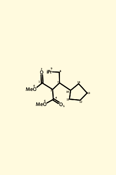 COC(=O)C(C(=O)OC)C(CC(C)C)C1CCCC1